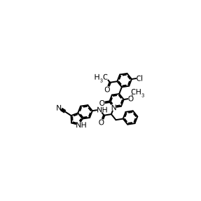 COc1cn(C(Cc2ccccc2)C(=O)Nc2ccc3c(C#N)c[nH]c3c2)c(=O)cc1-c1cc(Cl)ccc1C(C)=O